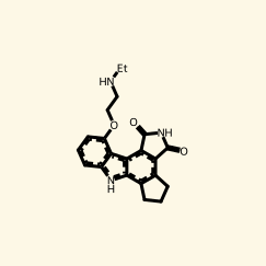 CCNCCOc1cccc2[nH]c3c4c(c5c(c3c12)C(=O)NC5=O)CCC4